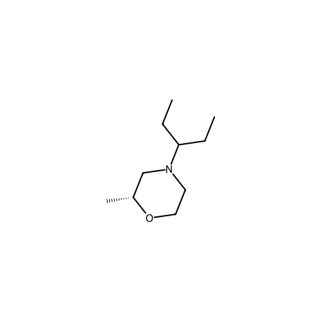 CCC(CC)N1CCO[C@H](C)C1